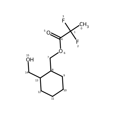 CC(F)(F)C(=O)OCC1CCCCC1CO